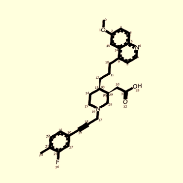 COc1ccc2nccc(CCC[C@@H]3CCN(CC#Cc4ccc(C)c(F)c4)C[C@@H]3CC(=O)O)c2c1